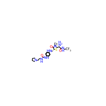 CCN1C(=O)[C@@H](CNc2ccc(NC(=O)NCCN3CCCC3)cc2)SC1[C@H](N)C(=O)NCC(F)(F)F